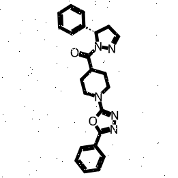 O=C(C1CCN(c2nnc(-c3ccccc3)o2)CC1)N1N=CC[C@H]1c1ccccc1